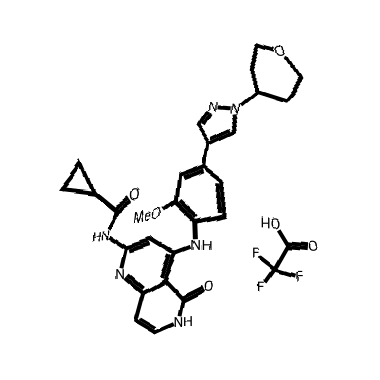 COc1cc(-c2cnn(C3CCOCC3)c2)ccc1Nc1cc(NC(=O)C2CC2)nc2cc[nH]c(=O)c12.O=C(O)C(F)(F)F